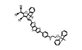 CN(CCO[Si]1(c2ccccc2)c2ccccc2C1(C)C)c1ccc(-c2cc3sc4cc(/C=C/C5=C(C#N)C(=C(C#N)C#N)OC5(c5ccccc5)C(F)(F)F)sc4c3s2)cc1